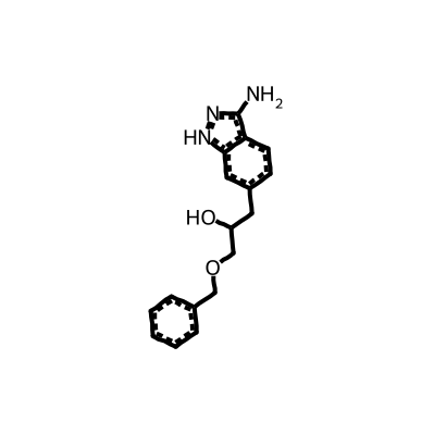 Nc1n[nH]c2cc(CC(O)COCc3ccccc3)ccc12